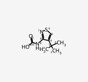 CC(C)(C)c1csnc1NC(=O)O